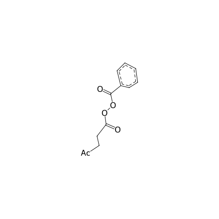 CC(=O)CCC(=O)OOC(=O)c1ccccc1